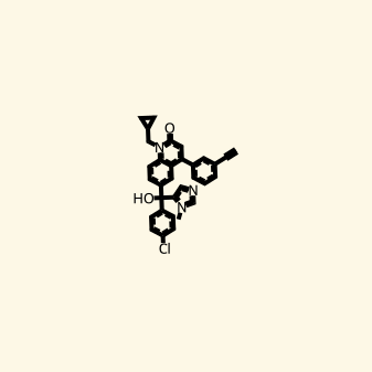 C#Cc1cccc(-c2cc(=O)n(CC3CC3)c3ccc(C(O)(c4ccc(Cl)cc4)c4cncn4C)cc23)c1